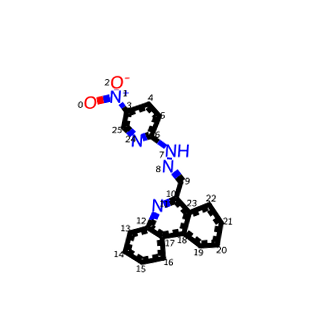 O=[N+]([O-])c1ccc(NN=Cc2nc3ccccc3c3ccccc23)nc1